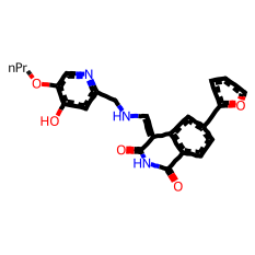 CCCOc1cnc(CNC=C2C(=O)NC(=O)c3ccc(-c4ccco4)cc32)cc1O